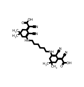 CC1(C)CC(NCCCCCCNC2=C(C#N)/C(=C(\C#N)C(=O)O)CC(C)(C)C2)=C(C#N)/C(=C(\C#N)C(=O)O)C1